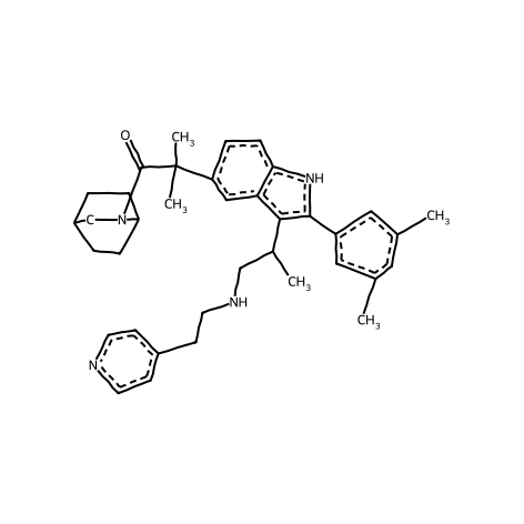 Cc1cc(C)cc(-c2[nH]c3ccc(C(C)(C)C(=O)N4CC5CCC4CC5)cc3c2C(C)CNCCc2ccncc2)c1